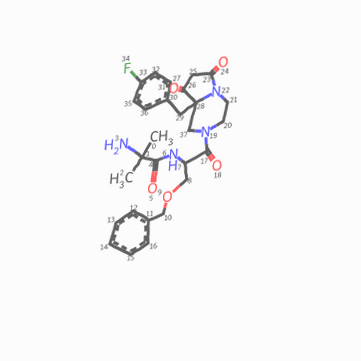 CC(C)(N)C(=O)NC(COCc1ccccc1)C(=O)N1CCN2C(=O)CC(=O)C2(Cc2ccc(F)cc2)C1